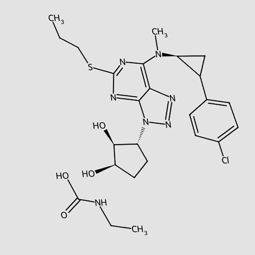 CCCSc1nc(N(C)[C@H]2CC2c2ccc(Cl)cc2)c2nnn([C@@H]3CC[C@@H](O)[C@H]3O)c2n1.CCNC(=O)O